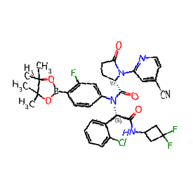 CC1(C)OB(c2ccc(N(C(=O)[C@@H]3CCC(=O)N3c3cc(C#N)ccn3)[C@H](C(=O)NC3CC(F)(F)C3)c3ccccc3Cl)cc2F)OC1(C)C